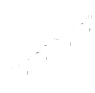 C/C=C(\C)C[CH]/C=C(\C)CC/C=C(\C)CCC=C(C)C